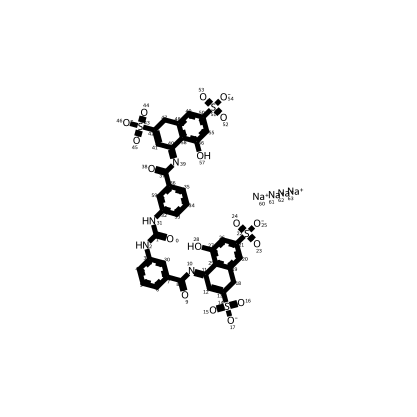 O=C(Nc1cccc(C(=O)N=C2C=C(S(=O)(=O)[O-])Cc3cc(S(=O)(=O)[O-])cc(O)c32)c1)Nc1cccc(C(=O)N=C2C=C(S(=O)(=O)[O-])Cc3cc(S(=O)(=O)[O-])cc(O)c32)c1.[Na+].[Na+].[Na+].[Na+]